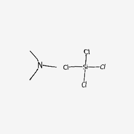 CN(C)C.Cl[Si](Cl)(Cl)Cl